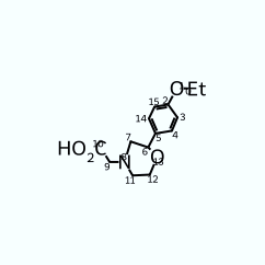 CCOc1ccc(C2CN(CC(=O)O)CCO2)cc1